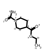 BC(=O)N1CCC(C(=O)OCC)CC1